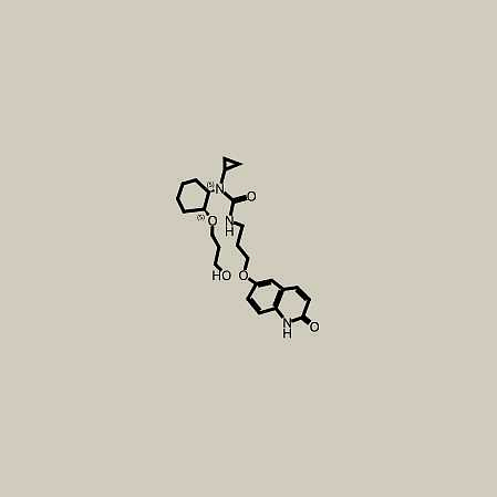 O=C(NCCCOc1ccc2[nH]c(=O)ccc2c1)N(C1CC1)[C@H]1CCCC[C@@H]1OCCCO